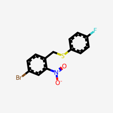 O=[N+]([O-])c1cc(Br)ccc1CSc1ccc(F)cc1